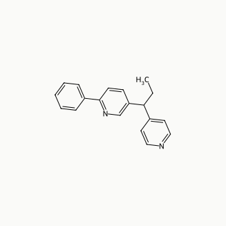 CCC(c1ccncc1)c1ccc(-c2ccccc2)nc1